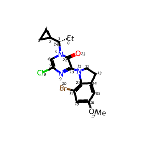 CC[C@@H](C1CC1)n1cc(Cl)nc(N2CCc3cc(OC)cc(Br)c32)c1=O